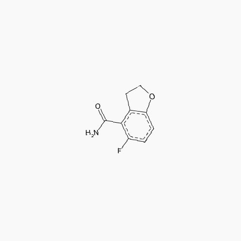 NC(=O)c1c(F)ccc2c1CCO2